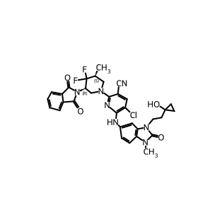 C[C@H]1CN(c2nc(Nc3ccc4c(c3)n(CCC3(O)CC3)c(=O)n4C)c(Cl)cc2C#N)C[C@@H](N2C(=O)c3ccccc3C2=O)C1(F)F